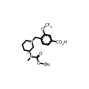 CN(C(=O)OC(C)(C)C)[C@H]1CCCN(Cc2ccc(C(=O)O)cc2OC(F)(F)F)C1